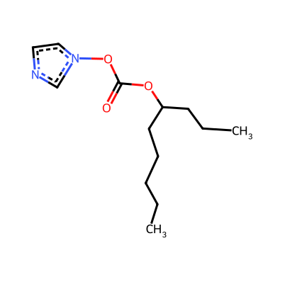 CCCCCC(CCC)OC(=O)On1ccnc1